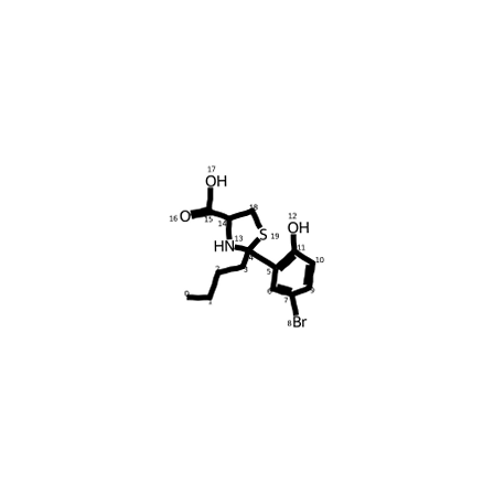 CCCCC1(c2cc(Br)ccc2O)NC(C(=O)O)CS1